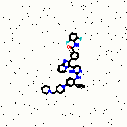 COc1cc(N2CCC(CN3CCCCC3)CC2)ccc1NC1N=CC=C(c2c(-c3cccc(C(=O)Nc4c(F)cccc4F)c3)nc3ccccn23)N1